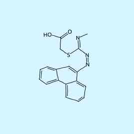 C/N=C(\N=N/c1cc2ccccc2c2ccccc12)SCC(=O)O